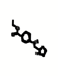 CCOC(=O)c1ccc(NCc2ncc[nH]2)cc1